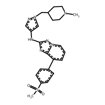 CN1CCC(Cn2cc(Nc3nc4c(-c5ccc(S(C)(=O)=O)cc5)cccn4n3)cn2)CC1